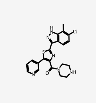 Cc1c(Cl)ccc2c(-c3nc(C(=O)N4CCNCC4)c(-c4cccnc4)s3)n[nH]c12